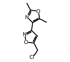 Cc1nc(-c2cc(CCl)on2)c(C)o1